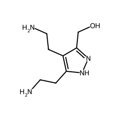 NCCc1[nH]nc(CO)c1CCN